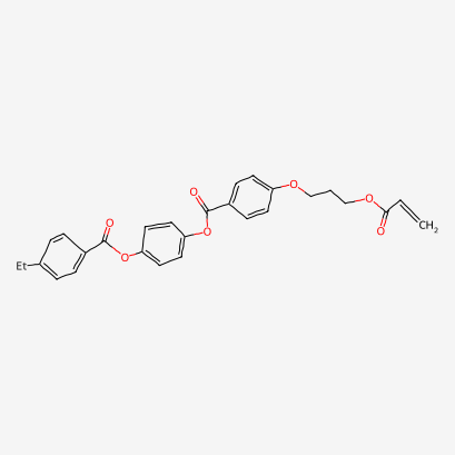 C=CC(=O)OCCCOc1ccc(C(=O)Oc2ccc(OC(=O)c3ccc(CC)cc3)cc2)cc1